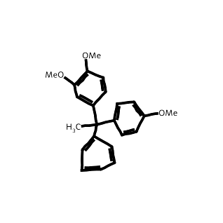 COc1ccc(C(C)(c2ccccc2)c2ccc(OC)c(OC)c2)cc1